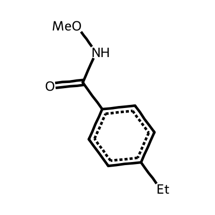 CCc1ccc(C(=O)NOC)cc1